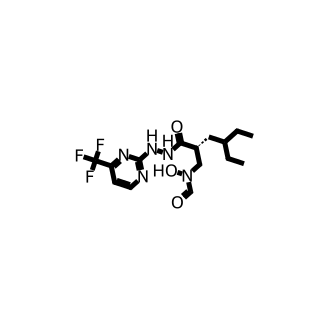 CCC(CC)C[C@H](CN(O)C=O)C(=O)NNc1nccc(C(F)(F)F)n1